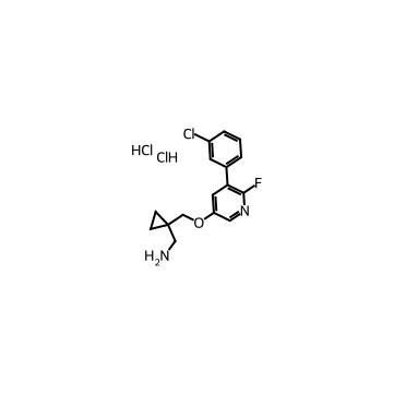 Cl.Cl.NCC1(COc2cnc(F)c(-c3cccc(Cl)c3)c2)CC1